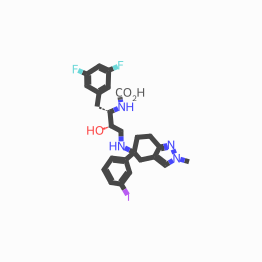 Cn1cc2c(n1)CCC(NC[C@H](O)[C@H](Cc1cc(F)cc(F)c1)NC(=O)O)(c1cccc(I)c1)C2